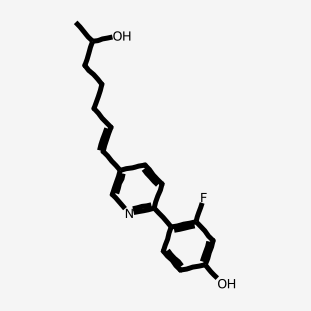 CC(O)CCC/C=C/c1ccc(-c2ccc(O)cc2F)nc1